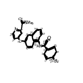 CNC(=O)c1cc(Oc2ccc3c(NC(=O)c4ccc(C(C)(C)C)cc4)cccc3c2)ccn1